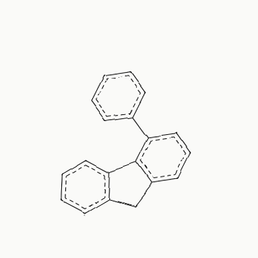 [c]1cccc2c1Cc1cccc(-c3ccccc3)c1-2